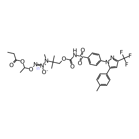 CCC(=O)OC(C)O/N=[N+](\[O-])N(C)C(C)(C)COC(=O)NS(=O)(=O)c1ccc(-n2nc(C(F)(F)F)cc2-c2ccc(C)cc2)cc1